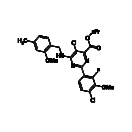 CCCOC(=O)c1nc(-c2ccc(Cl)c(OC)c2F)nc(NCc2ccc(C)cc2OC)c1Cl